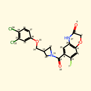 O=C1COc2cc(F)c(C(=O)N3CC(COc4ccc(Cl)c(Cl)c4)C3)cc2N1